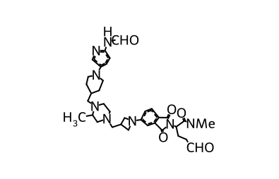 CNC(=O)C(CCC=O)N1C(=O)c2ccc(N3CC(CN4CCN(CC5CCN(c6ccc(NC=O)nc6)CC5)C(C)C4)C3)cc2C1=O